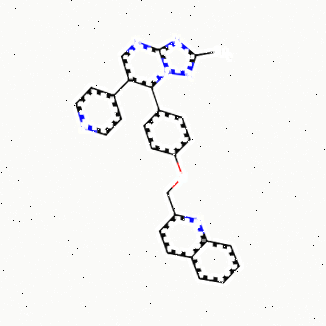 Cc1nc2ncc(-c3ccncc3)c(-c3ccc(OCc4ccc5ccccc5n4)cc3)n2n1